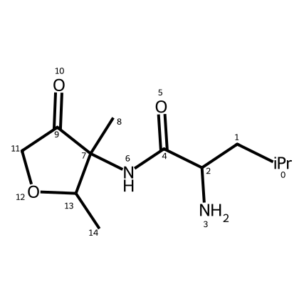 CC(C)CC(N)C(=O)NC1(C)C(=O)COC1C